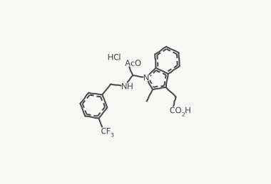 CC(=O)OC(NCc1cccc(C(F)(F)F)c1)n1c(C)c(CC(=O)O)c2ccccc21.Cl